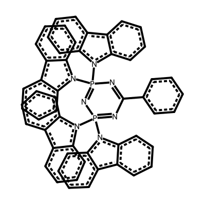 c1ccc(C2=NP(n3c4ccccc4c4ccccc43)(n3c4ccccc4c4ccccc43)=NP(n3c4ccccc4c4ccccc43)(n3c4ccccc4c4ccccc43)=N2)cc1